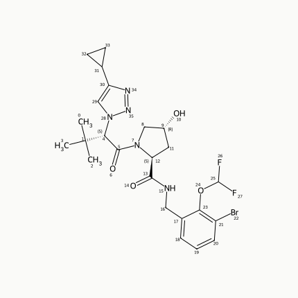 CC(C)(C)[C@@H](C(=O)N1C[C@H](O)C[C@H]1C(=O)NCc1cccc(Br)c1OC(F)F)n1cc(C2CC2)nn1